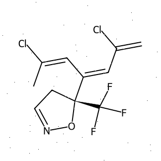 C=C(Cl)/C=C(\C=C(/C)Cl)[C@@]1(C(F)(F)F)CC=NO1